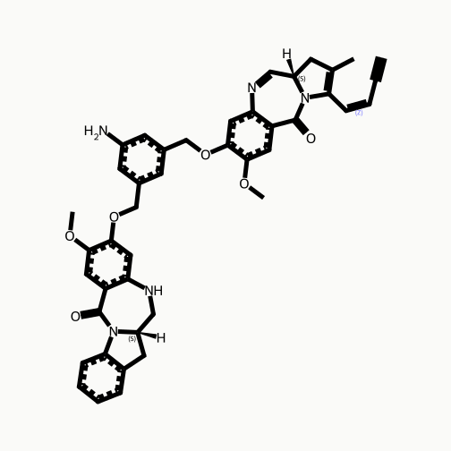 C#C/C=C\C1=C(C)C[C@H]2C=Nc3cc(OCc4cc(N)cc(COc5cc6c(cc5OC)C(=O)N5c7ccccc7C[C@H]5CN6)c4)c(OC)cc3C(=O)N12